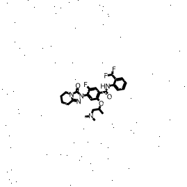 CC(CN(C)C)Oc1cc(-n2nc3n(c2=O)CCCC3)c(F)cc1C(=O)Nc1ccccc1C(F)F